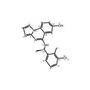 Cc1c([C@@H](C)Nc2nc3nccn3c3ccc(O)cc23)cccc1C(F)(F)F